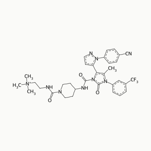 Cc1c(-c2ccnn2-c2ccc(C#N)cc2)n(C(=O)NC2CCN(C(=O)NCC[N+](C)(C)C)CC2)c(=O)n1-c1cccc(C(F)(F)F)c1